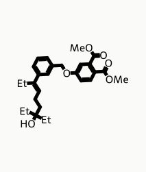 CCC(=CCCC(O)(CC)CC)c1cccc(COc2ccc(C(=O)OC)c(C(=O)OC)c2)c1